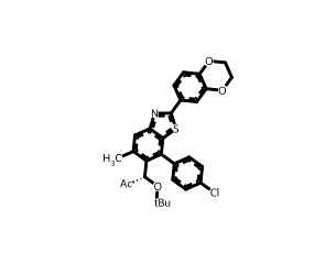 CC(=O)[C@@H](OC(C)(C)C)c1c(C)cc2nc(-c3ccc4c(c3)OCCO4)sc2c1-c1ccc(Cl)cc1